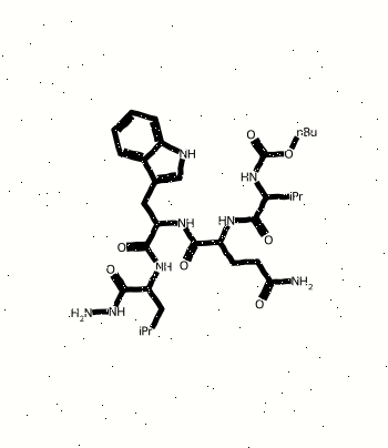 CCCCOC(=O)NC(C(=O)NC(CCC(N)=O)C(=O)NC(Cc1c[nH]c2ccccc12)C(=O)NC(CC(C)C)C(=O)NN)C(C)C